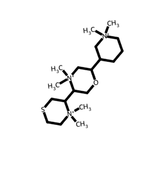 C[N+]1(C)CCCC(C2C[N+](C)(C)C(C3CSCC[N+]3(C)C)CO2)C1